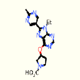 CCn1c(-c2cnc(C)nc2)nc2c(OC3CCN(C(=O)O)C3)ncnc21